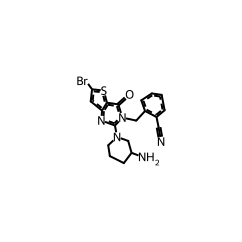 N#Cc1ccccc1Cn1c(N2CCCC(N)C2)nc2cc(Br)sc2c1=O